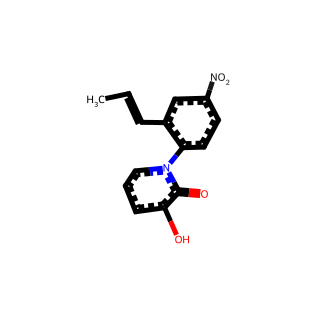 CC=Cc1cc([N+](=O)[O-])ccc1-n1cccc(O)c1=O